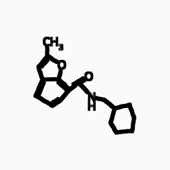 Cc1cc2cccc(C(=O)NCC3CCCCC3)c2o1